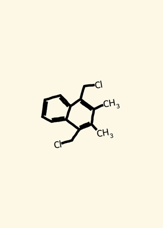 Cc1c(C)c(CCl)c2ccccc2c1CCl